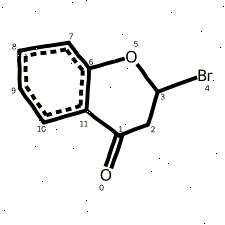 O=C1CC(Br)Oc2ccccc21